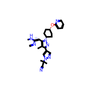 C=N/C(=C\c1c(C)c(-c2cnn(C(C)(C)C#N)c2)nn1[C@H]1CC[C@@H](Oc2ccccn2)CC1)NC